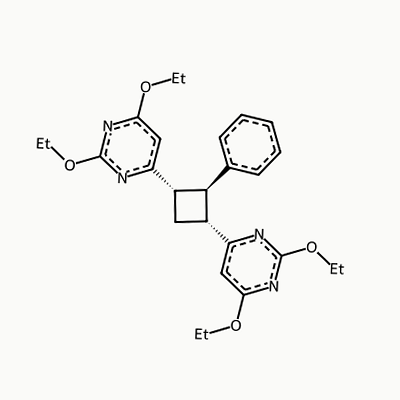 CCOc1cc([C@H]2C[C@@H](c3cc(OCC)nc(OCC)n3)[C@@H]2c2ccccc2)nc(OCC)n1